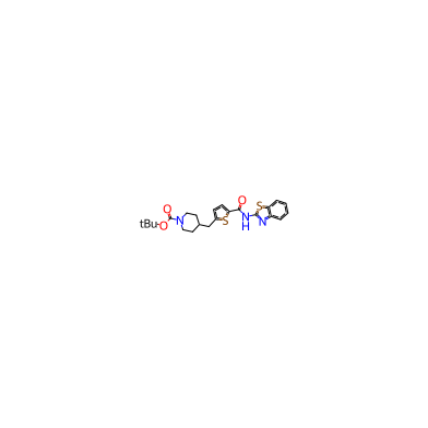 CC(C)(C)OC(=O)N1CCC(Cc2ccc(C(=O)Nc3nc4ccccc4s3)s2)CC1